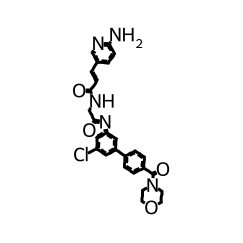 Nc1ccc(/C=C/C(=O)NCc2nc3cc(-c4ccc(C(=O)N5CCOCC5)cc4)cc(Cl)c3o2)cn1